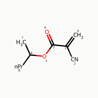 C=C(C#N)C(=O)OC(C)CCC